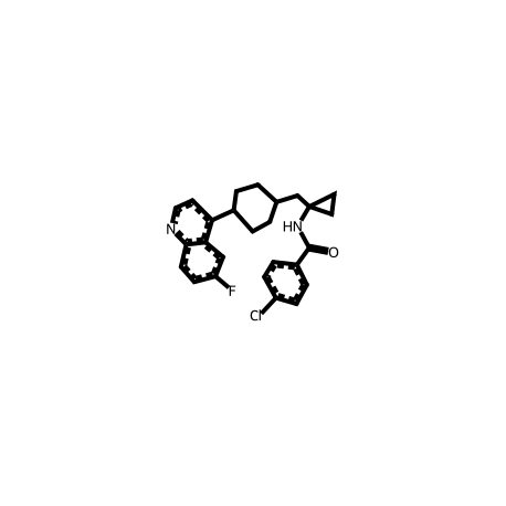 O=C(NC1(CC2CCC(c3ccnc4ccc(F)cc34)CC2)CC1)c1ccc(Cl)cc1